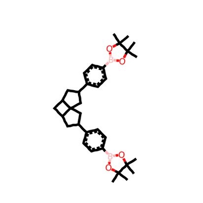 CC1(C)OB(c2ccc(C3CC4CC5CC(c6ccc(B7OC(C)(C)C(C)(C)O7)cc6)CC45C3)cc2)OC1(C)C